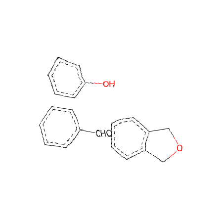 O=Cc1ccccc1.Oc1ccccc1.c1ccc2c(c1)COC2